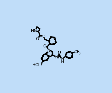 Cl.O=C(Nc1ccc(C(F)(F)F)cc1)Nc1cn(C(=O)c2ccccc2COC(=O)C2CCN2)c2ccc(F)cc12